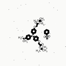 CN(C)c1ccc([S+](c2ccc(OCC(=O)OC(C)(C)C)cc2)c2ccc(OCC(=O)OC(C)(C)C)cc2)cc1.O=S(=O)([O-])c1ccccc1